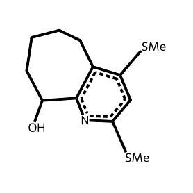 CSc1cc(SC)c2c(n1)C(O)CCCC2